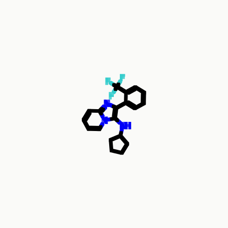 FC(F)(F)c1ccccc1-c1nc2ccccn2c1NC1CCCC1